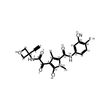 C#CC1(NC(=O)C(=O)c2c(C)c(C(=O)Nc3ccc(F)c(C#N)c3)n(C)c2Cl)COC1